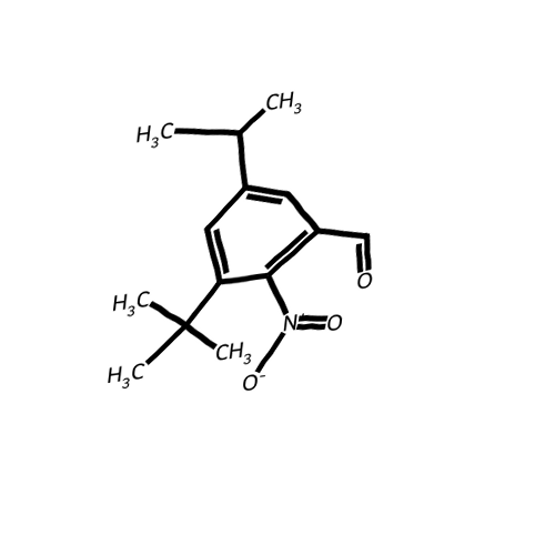 CC(C)c1cc(C=O)c([N+](=O)[O-])c(C(C)(C)C)c1